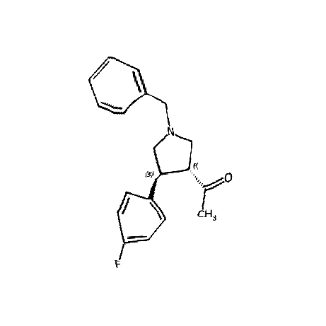 CC(=O)[C@H]1CN(Cc2ccccc2)C[C@@H]1c1ccc(F)cc1